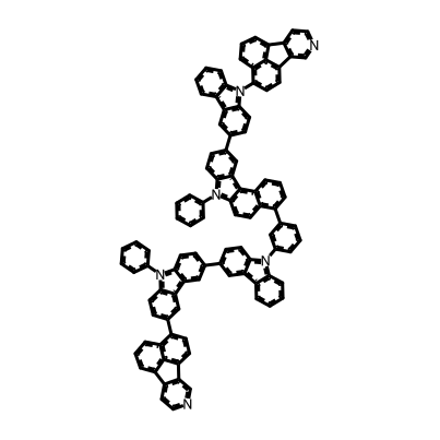 c1ccc(-n2c3ccc(-c4ccc5c(c4)c4ccccc4n5-c4cccc(-c5cccc6c5ccc5c6c6cc(-c7ccc8c(c7)c7ccccc7n8-c7ccc8c9c(cccc79)-c7ccncc7-8)ccc6n5-c5ccccc5)c4)cc3c3cc(-c4ccc5c6c(cccc46)-c4ccncc4-5)ccc32)cc1